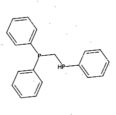 c1ccc(PCP(c2ccccc2)c2ccccc2)cc1